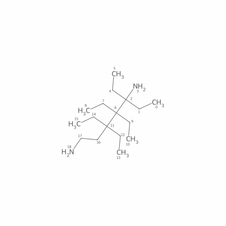 CCC(N)(CC)C(CC)(CC)C(CC)(CC)CCN